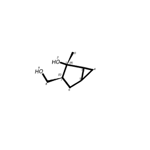 C[C@@]1(O)C2CC2C[C@H]1CO